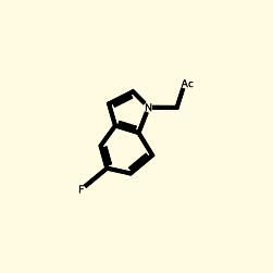 CC(=O)Cn1ccc2cc(F)ccc21